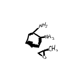 CC1CO1.Nc1ccccc1N